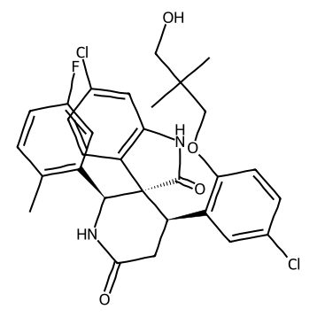 Cc1ccc(F)cc1[C@@H]1NC(=O)C[C@H](c2cc(Cl)ccc2OCC(C)(C)CO)[C@@]12C(=O)Nc1cc(Cl)ccc12